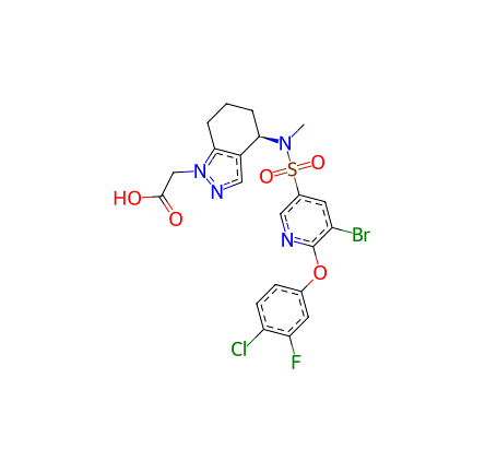 CN([C@@H]1CCCc2c1cnn2CC(=O)O)S(=O)(=O)c1cnc(Oc2ccc(Cl)c(F)c2)c(Br)c1